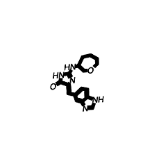 O=C1NC(NC2CCCCOC2)=N/C1=C\c1ccc2[nH]cnc2c1